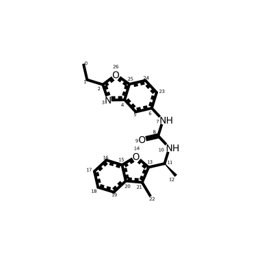 CCc1nc2cc(NC(=O)N[C@@H](C)c3oc4ccccc4c3C)ccc2o1